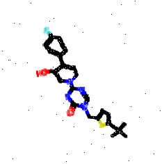 CC(C)(C)c1ccc(Cn2cnc(N3CC=C(c4ccc(F)cc4)C(O)C3)nc2=O)s1